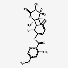 COc1cnc(C(=O)NC2=CC=C(F)C([C@@]3(C)NC(=N)N(C)S(=O)(=O)C34CC4)C2C)c(C)c1